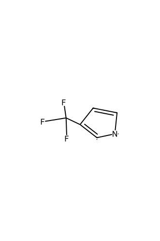 FC(F)(F)C1=[C][N]C=C1